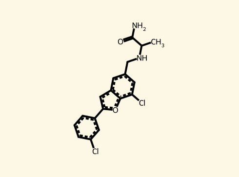 CC(NCc1cc(Cl)c2oc(-c3cccc(Cl)c3)cc2c1)C(N)=O